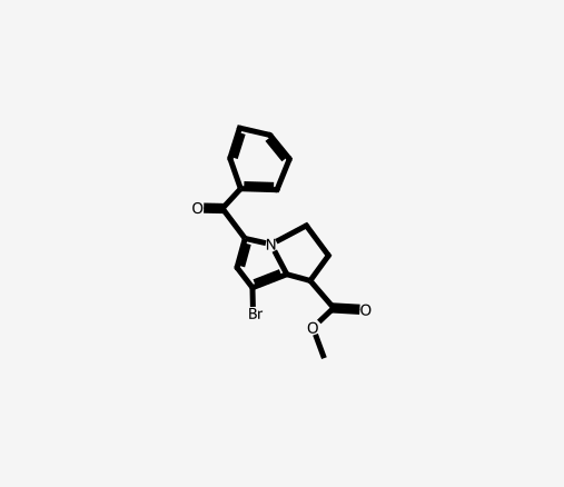 COC(=O)C1CCn2c(C(=O)c3ccccc3)cc(Br)c21